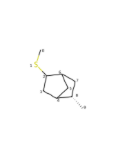 CSC1CC2CC1C[C@@H]2C